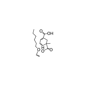 C=COCCCCCC.CC1(C(=O)O)C=CC=C(C(=O)O)C1